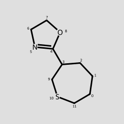 C1CCC(C2=NCCO2)CSC1